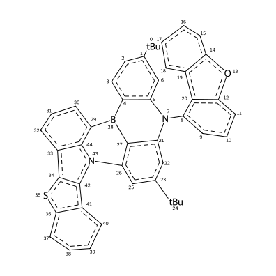 CC(C)(C)c1ccc2c(c1)N(c1cccc3oc4ccccc4c13)c1cc(C(C)(C)C)cc3c1B2c1cccc2c4sc5ccccc5c4n-3c12